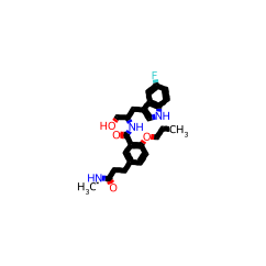 CCCOc1ccc(CCC(=O)NC)cc1C(=O)NC(CO)Cc1c[nH]c2ccc(F)cc12